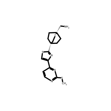 CSc1nccc(-c2csc([C@]34CC[C@](CN)(CC3)CC4)n2)n1